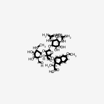 CN[C@@H]1[C@H](O[C@H]2[C@H](O[C@H]3[C@H](O)[C@@H](O)[C@H](NC(=N)N)[C@@H](O)[C@@H]3NC(=N)N)O[C@@H](C)[C@]2(O)C=O)O[C@@H](CO)[C@H](O)[C@H]1O.COc1ccc2cc([C@H](C)C(=O)O)ccc2c1